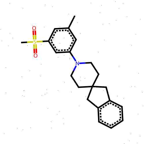 Cc1cc(N2CCC3(CC2)Cc2ccccc2C3)cc(S(C)(=O)=O)c1